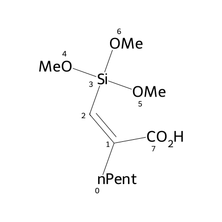 CCCCCC(=C[Si](OC)(OC)OC)C(=O)O